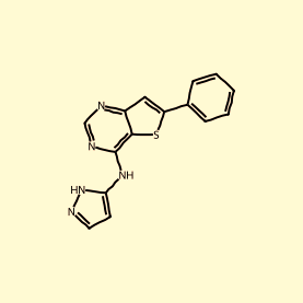 c1ccc(-c2cc3ncnc(Nc4ccn[nH]4)c3s2)cc1